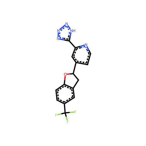 FC(F)(F)c1ccc2c(c1)CC(c1ccnc(-c3nnn[nH]3)c1)O2